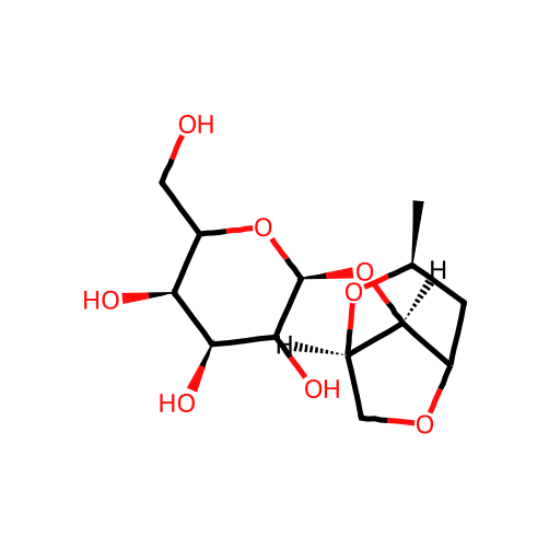 C[C@H]1CC2OC[C@@H](O1)[C@H]2O[C@@H]1OC(CO)[C@H](O)[C@H](O)C1O